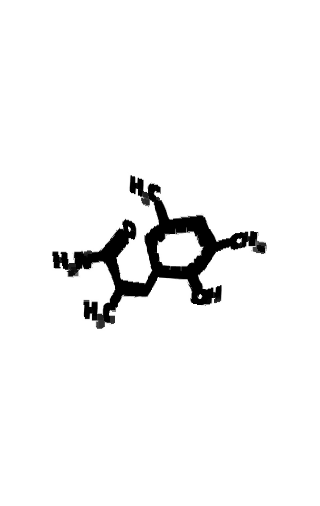 CC(=Cc1cc(C)cc(C)c1O)C(N)=O